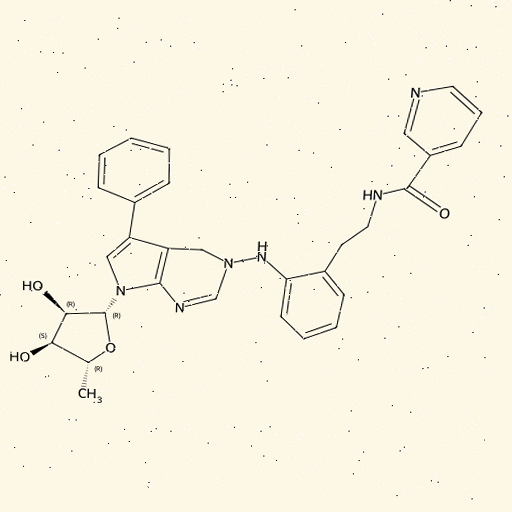 C[C@H]1O[C@@H](n2cc(-c3ccccc3)c3c2N=CN(Nc2ccccc2CCNC(=O)c2cccnc2)C3)[C@H](O)[C@@H]1O